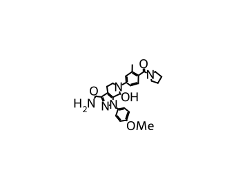 COc1ccc(-n2nc(C(N)=O)c3c2C(O)N(c2ccc(C(=O)N4CCCC4)c(C)c2)CC3)cc1